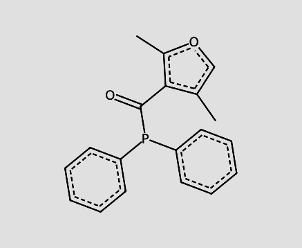 Cc1coc(C)c1C(=O)P(c1ccccc1)c1ccccc1